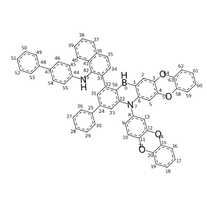 B1c2cc3c(cc2N(c2ccc4c(c2)Oc2ccccc2O4)c2cc(-c4ccccc4)cc(-c4ccc5ccccc5c4Nc4ccc(-c5ccccc5)cc4)c21)Oc1ccccc1O3